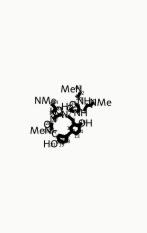 CNCCC[C@H](NC(=O)[C@@H]1Cc2cc(ccc2O)-c2ccc(O)c(c2)C[C@H](NC)C(=O)N[C@@H](CCCNC)C(=O)N1)C(=O)NCCNC